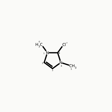 CN1C=CN(C)C1Cl